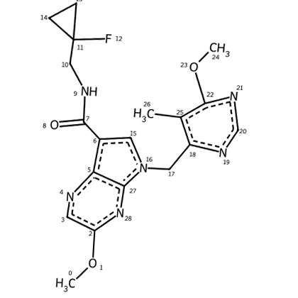 COc1cnc2c(C(=O)NCC3(F)CC3)cn(Cc3ncnc(OC)c3C)c2n1